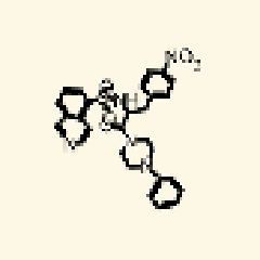 O=C(C(Cc1ccc([N+](=O)[O-])cc1)NS(=O)(=O)c1cccc2cnccc12)N1CCN(c2ccccc2)CC1